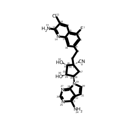 N#C[C@]1(CCc2cc(F)c3cc(Cl)c(N)nc3c2)C[C@@H](n2ccc3c(N)ncnc32)[C@H](O)[C@@H]1O